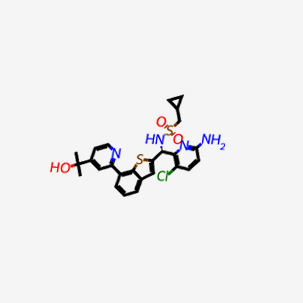 CC(C)(O)c1ccnc(-c2cccc3cc([C@H](NS(=O)(=O)CC4CC4)c4nc(N)ccc4Cl)sc23)c1